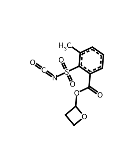 Cc1cccc(C(=O)OC2CCO2)c1S(=O)(=O)N=C=O